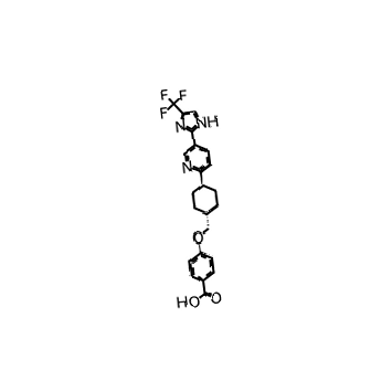 O=C(O)c1ccc(OC[C@H]2CC[C@H](c3ccc(-c4nc(C(F)(F)F)c[nH]4)cn3)CC2)cc1